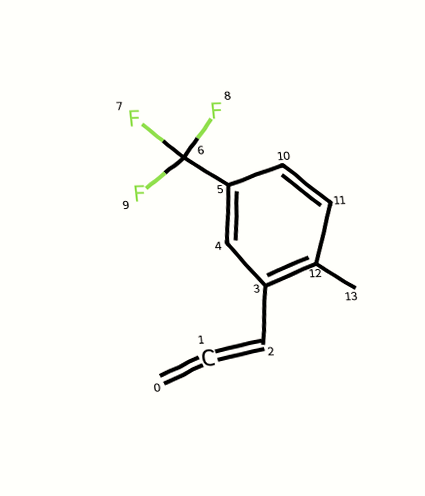 C=C=Cc1cc(C(F)(F)F)ccc1C